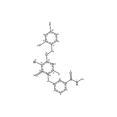 CNC(=O)c1cccc(Cn2c(C)nc(OCc3ccc(F)cc3F)c(Br)c2=O)c1